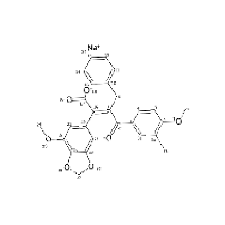 COc1ccc(C(=O)C(Cc2ccccc2)=C(C(=O)[O-])c2cc(OC)c3c(c2)OCO3)cc1C.[Na+]